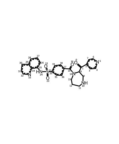 O=C(c1ccncc1)C1CNCCCN1C(=O)c1ccc(S(=O)(=O)Nc2cccc3cccnc23)cc1